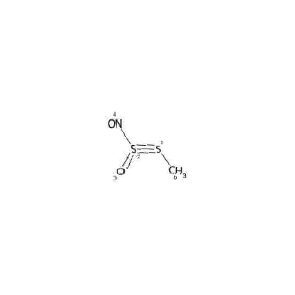 CS#S(=O)N=O